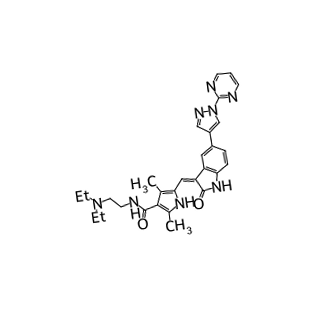 CCN(CC)CCNC(=O)c1c(C)[nH]c(/C=C2\C(=O)Nc3ccc(-c4cnn(-c5ncccn5)c4)cc32)c1C